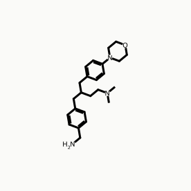 CN(C)CCC(Cc1ccc(CN)cc1)Cc1ccc(N2CCOCC2)cc1